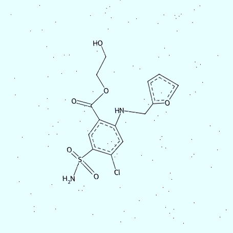 NS(=O)(=O)c1cc(C(=O)OCCO)c(NCc2ccco2)cc1Cl